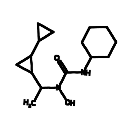 CC(C1CC1C1CC1)N(O)C(=O)NC1CCCCC1